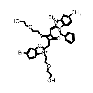 CCN1/C(=C/C2=C(SCCOCCO)C(=C\c3oc4cc(Br)ccc4[n+]3CCOCCO)/C2=O)N(Cc2ccccc2)c2ccc(C)cc21